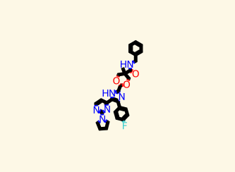 CC1(C(=O)NCc2ccccc2)COC(c2nc(-c3ccc(F)cc3)c(-c3ccnc(N4CCCC4)n3)[nH]2)OC1